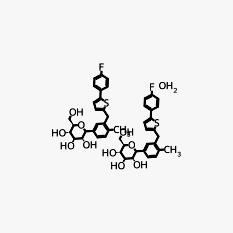 Cc1ccc(C2O[C@H](CO)[C@@H](O)[C@H](O)[C@H]2O)cc1Cc1ccc(-c2ccc(F)cc2)s1.Cc1ccc(C2O[C@H](CO)[C@@H](O)[C@H](O)[C@H]2O)cc1Cc1ccc(-c2ccc(F)cc2)s1.O